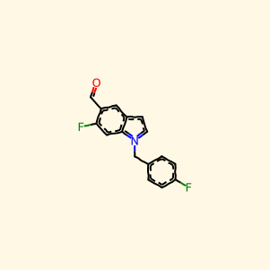 O=Cc1cc2ccn(Cc3ccc(F)cc3)c2cc1F